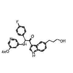 COc1cncc(NC(C(=O)c2c[nH]c3ccc(CCCO)cc23)c2ccc(F)cc2)c1